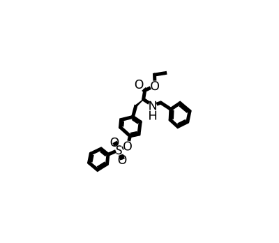 CCOC(=O)[C@H](Cc1ccc(OS(=O)(=O)c2ccccc2)cc1)NCc1ccccc1